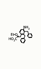 CCO[C@H](Cc1ccc(N)c(Cc2ccccc2)c1Cc1ccccc1)C(=O)O